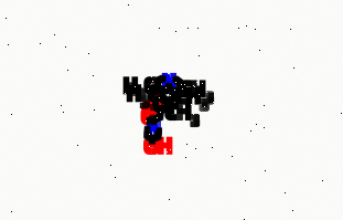 Cc1c(CC(=O)N2CCC(O)CC2)c(=O)oc2c3c4c(cc12)C(C)(C)CCN4CCC3(C)C